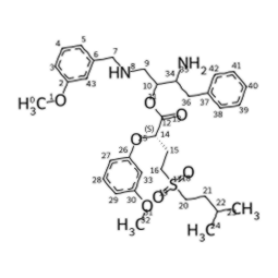 COc1cccc(CNCC(OC(=O)[C@H](CCS(=O)(=O)CCC(C)C)Oc2cccc(OC)c2)C(N)Cc2ccccc2)c1